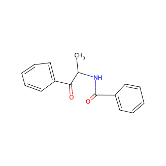 CC(NC(=O)c1ccccc1)C(=O)c1ccccc1